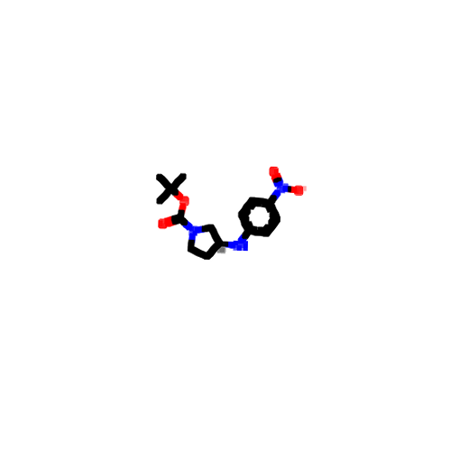 CC(C)(C)OC(=O)N1CC[C@H](Nc2ccc([N+](=O)[O-])cc2)C1